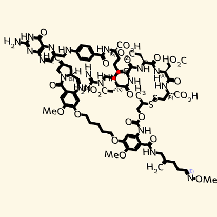 C=C(CC/C=N/OC)CNC(=O)c1cc(OC)c(OCCCCCOc2cc3c(cc2OC)C(=O)N2CC(=C)C[C@H]2C=N3)cc1NC(=O)OCC(C)SSC[C@H](NC(=O)[C@H](CC(=O)O)NC(=O)[C@H](CC(=O)O)NC(=O)[C@H](CCCNC(=N)N)NC(=O)[C@H](CC(=O)O)NC(=O)CC[C@H](NC(=O)c1ccc(NCc2cnc3nc(N)[nH]c(=O)c3n2)cc1)C(=O)O)C(=O)O